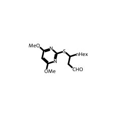 CCCCCCC(CC=O)Sc1nc(OC)cc(OC)n1